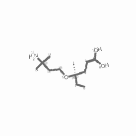 CC[C@](C)(CCC(O)O)OCCC(C)(C)N